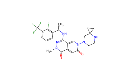 C[C@@H](Nc1nn(C)c(=O)c2cc(=O)n(N3CCNC4(CC4)C3)cc12)c1cccc(C(F)(F)F)c1F